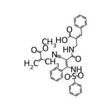 C=C(C)C(=O)OC.N#CC(C(=O)NCC(=Cc1ccccc1)C(=O)O)=C(NS(=O)(=O)c1ccccc1)c1ccccc1